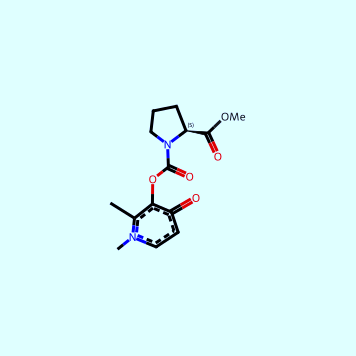 COC(=O)[C@@H]1CCCN1C(=O)Oc1c(C)n(C)ccc1=O